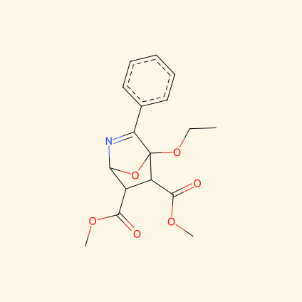 CCOC12OC(N=C1c1ccccc1)C(C(=O)OC)C2C(=O)OC